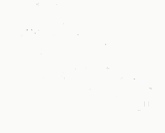 C=Cc1ccc2c(ccc3oc4c(-c5cccc[n+]5C)c(C)ccc4c32)c1/C=C\C